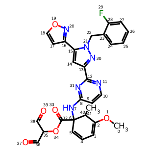 COC1=CC=CC(Nc2ccnc(-c3cc(-c4ccon4)n(Cc4ccccc4F)n3)n2)(C(=O)OC(C=O)C=O)C1C